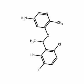 Cc1ncc(N)cc1OC(C)c1c(Cl)ccc(F)c1Cl